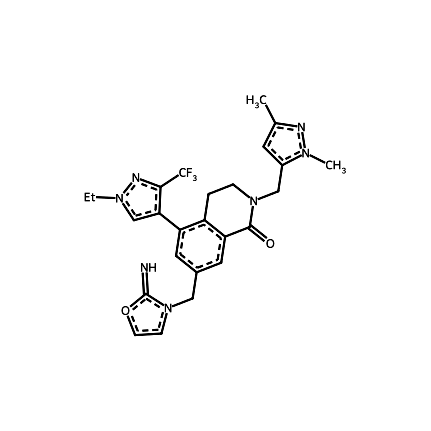 CCn1cc(-c2cc(Cn3ccoc3=N)cc3c2CCN(Cc2cc(C)nn2C)C3=O)c(C(F)(F)F)n1